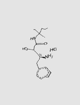 CCC(C)(C)NC(=O)C(O)[C@@H](N)Cc1ccccc1.Cl